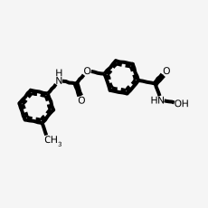 Cc1cccc(NC(=O)Oc2ccc(C(=O)NO)cc2)c1